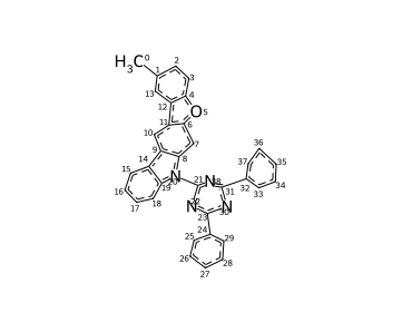 Cc1ccc2oc3cc4c(cc3c2c1)c1ccccc1n4-c1nc(-c2ccccc2)nc(-c2ccccc2)n1